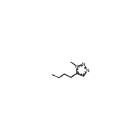 CCCCc1cnnn1C